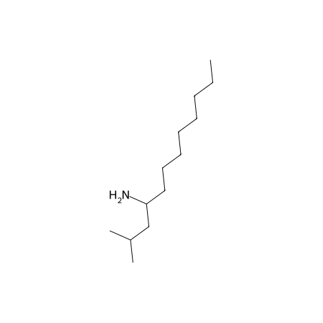 CCCCCCCCC(N)CC(C)C